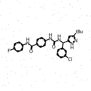 CC(C)(C)c1cc(C(NC(=O)Nc2ccc(C(=O)Nc3ccc(F)cc3)cc2)c2cccc(Cl)c2)[nH]n1